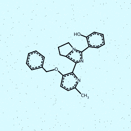 Cc1ccc(OCc2ccccc2)c(-c2nc(-c3ccccc3O)n3c2CCC3)n1